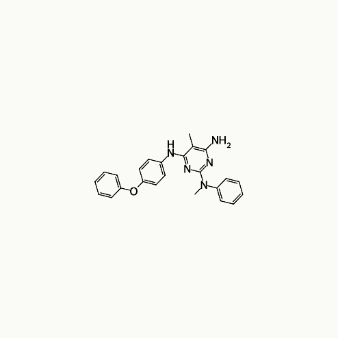 Cc1c(N)nc(N(C)c2ccccc2)nc1Nc1ccc(Oc2ccccc2)cc1